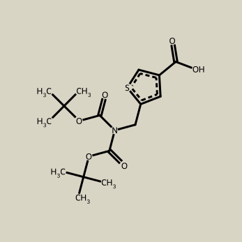 CC(C)(C)OC(=O)N(Cc1cc(C(=O)O)cs1)C(=O)OC(C)(C)C